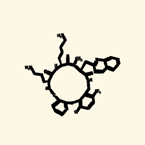 CN1C(=O)[C@H](CCCCN)NC(=O)[C@H](CCCN)NCc2cccnc2Sc2c(Cl)ccc(C(F)(F)F)c2CNC(=O)[C@@H]1Cc1ccc2ccccc2n1